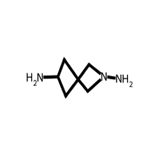 NC1CC2(C1)CN(N)C2